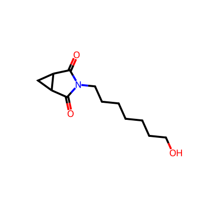 O=C1C2CC2C(=O)N1CCCCCCCO